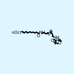 CCCCCCCCC=CCCCCCCCC(=O)NCCCCOC(=O)CCNC(=O)C1OC(C)(C)OCC1(C)C